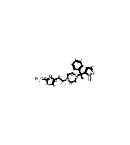 CC(c1ccccc1)(c1ccn[nH]1)N1CCN(CCc2csc(N)n2)CC1